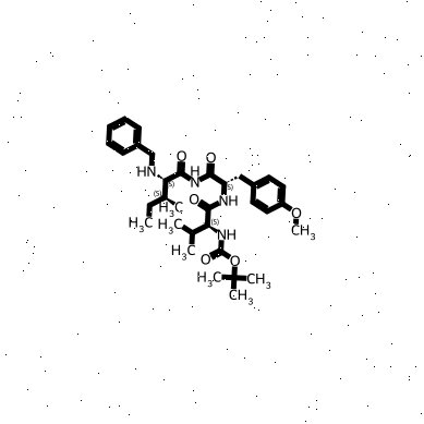 CC[C@H](C)[C@H](NCc1ccccc1)C(=O)NC(=O)[C@H](Cc1ccc(OC)cc1)NC(=O)[C@@H](NC(=O)OC(C)(C)C)C(C)C